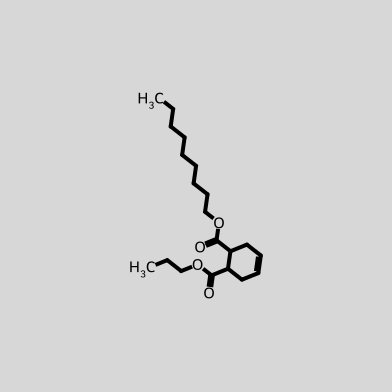 CCCCCCCCCOC(=O)C1CC=CCC1C(=O)OCCC